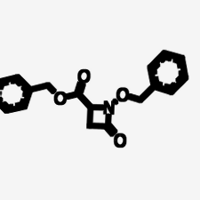 O=C(OCc1ccccc1)C1CC(=O)N1OCc1ccccc1